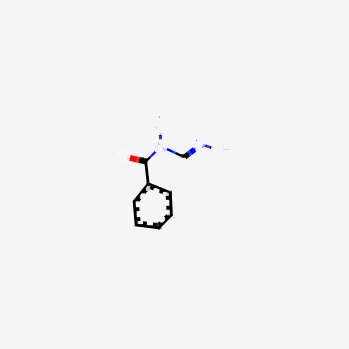 CN=CN(C)C(=O)c1ccccc1